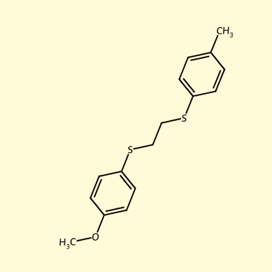 COc1ccc(SCCSc2ccc(C)cc2)cc1